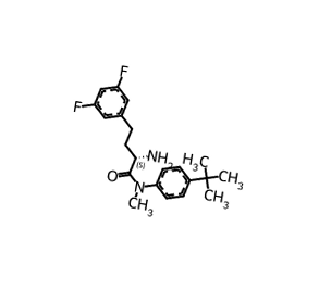 CN(C(=O)[C@@H](N)CCc1cc(F)cc(F)c1)c1ccc(C(C)(C)C)cc1